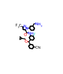 N#Cc1cccc(C(OCC2CC2)c2ccc(F)c(NC(=O)c3cc(C(F)(F)F)nn3-c3cccc(CN)c3)c2)c1